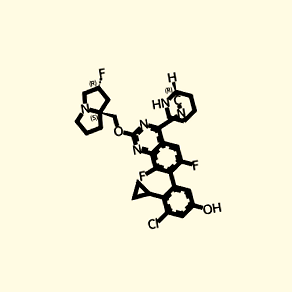 Oc1cc(Cl)c(C2CC2)c(-c2c(F)cc3c(N4C[C@H]5CCC4CN5)nc(OC[C@@]45CCCN4C[C@H](F)C5)nc3c2F)c1